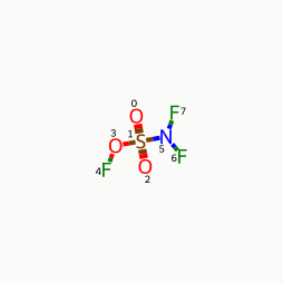 O=S(=O)(OF)N(F)F